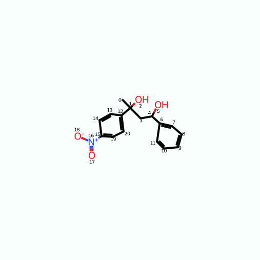 CC(O)(CC(O)c1ccccc1)c1ccc([N+](=O)[O-])cc1